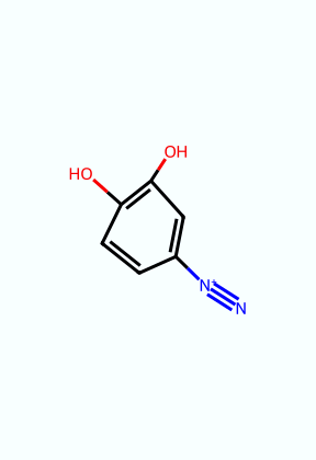 N#[N+]c1ccc(O)c(O)c1